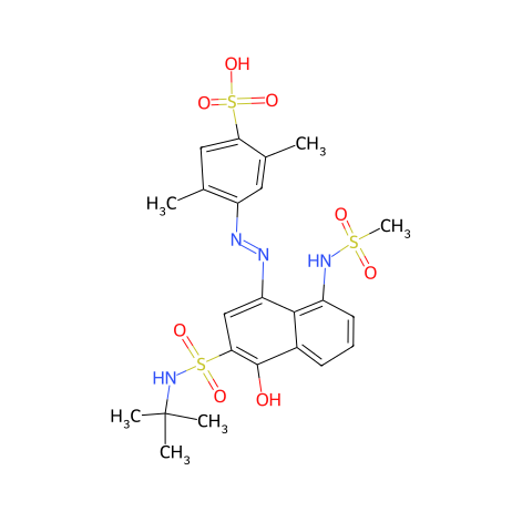 Cc1cc(S(=O)(=O)O)c(C)cc1N=Nc1cc(S(=O)(=O)NC(C)(C)C)c(O)c2cccc(NS(C)(=O)=O)c12